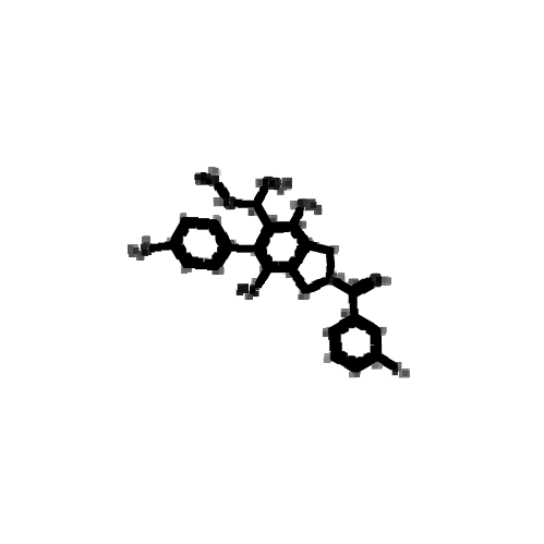 Cc1ccc(-c2c(C)c3c(c(C)c2C(OC(C)(C)C)C(=O)O)CN(C(=O)c2cccc(F)c2)C3)cc1